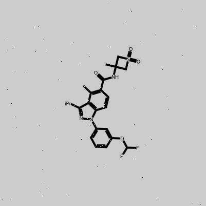 Cc1c(C(=O)NC2(C)CS(=O)(=O)C2)ccc2c1c(C(C)C)nn2-c1cccc(OC(F)F)c1